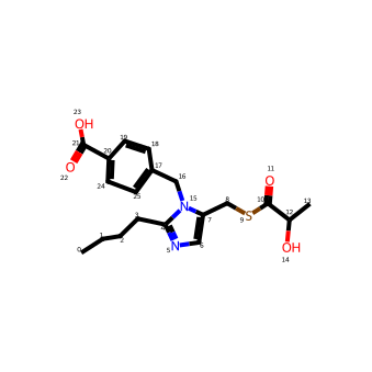 CCCCc1ncc(CSC(=O)C(C)O)n1Cc1ccc(C(=O)O)cc1